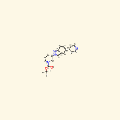 CC(C)(C)OC(=O)N1CCCC(n2cc3cc(-c4ccncc4)ccc3n2)C1